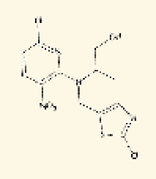 CC(CO)N(Cc1cnc(Cl)s1)c1nc(Cl)ccc1[N+](=O)[O-]